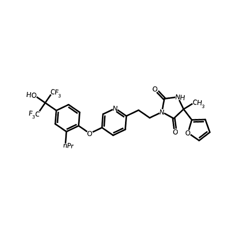 CCCc1cc(C(O)(C(F)(F)F)C(F)(F)F)ccc1Oc1ccc(CCN2C(=O)NC(C)(c3ccco3)C2=O)nc1